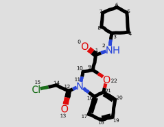 O=C(NC1CCCCC1)C1CN(C(=O)CCl)c2ccccc2O1